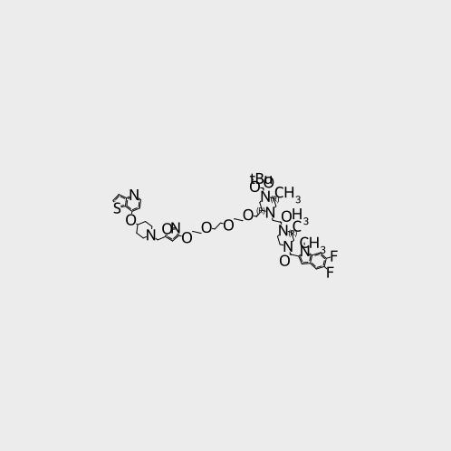 C[C@@H]1CN(C(=O)c2cc3cc(F)c(F)cc3n2C)CCN1C(=O)CN1C[C@@H](C)N(C(=O)OC(C)(C)C)C[C@@H]1COCCOCCOCCOc1cc(CN2CCC(Oc3ccnc4ccsc34)CC2)on1